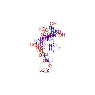 CC(=O)CCOC(C)(C)CCOC(C)(C)CCNC(=O)CCN1C(=O)CC(SC[C@H](NC(=O)[C@H](CCCCN)NC(=O)[C@H](CC(=O)O)NC(=O)[C@H](C)NC(=O)[C@H](CCC(=O)O)NC(=O)[C@H](C)NC(=O)[C@H](CCCCCN)NC(=O)[C@H](Cc2ccc(O)cc2)NC(=O)[C@@H](N)CC(=O)O)C(=O)O)C1=O